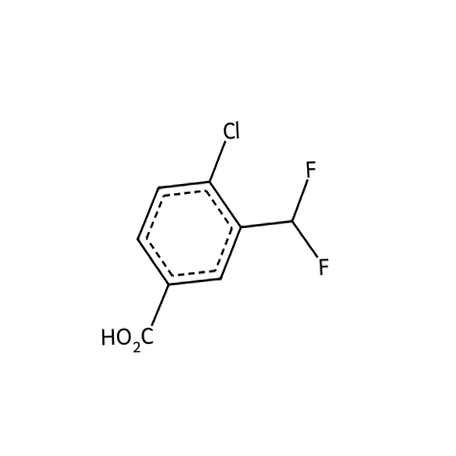 O=C(O)c1ccc(Cl)c(C(F)F)c1